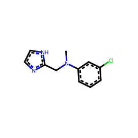 CN(Cc1ncc[nH]1)c1cccc(Cl)c1